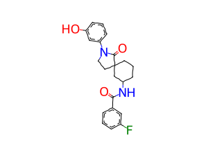 O=C(NC1CCCC2(CCN(c3cccc(O)c3)C2=O)C1)c1cccc(F)c1